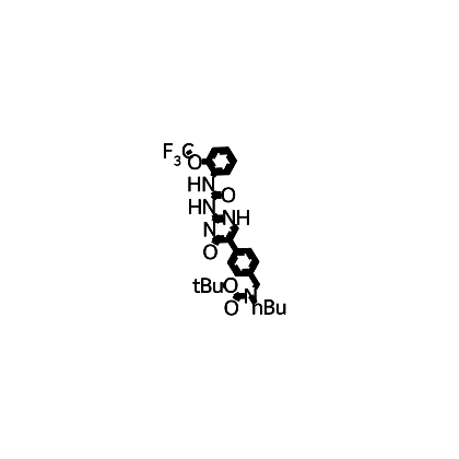 CCCCN(Cc1ccc(-c2c[nH]c(NC(=O)Nc3ccccc3OC(F)(F)F)nc2=O)cc1)C(=O)OC(C)(C)C